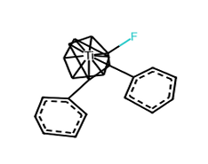 F[C]12[CH]3[CH]4[C]5(c6ccccc6)[C]1(c1ccccc1)[Ti]34251678[CH]2[CH]1[CH]6[CH]7[CH]28